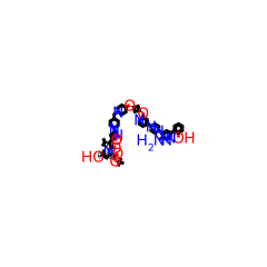 CC(C)[C@@H](C(=O)N1C[C@H](O)C[C@H]1C(=O)OC(C)(C)C)c1cc(N2CCC(CN3CCC(O[C@H]4C[C@H](Oc5cc(N6CCN(c7cc(-c8ccccc8O)nnc7N)CC6)ccn5)C4)CC3)CC2)no1